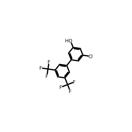 Oc1cc(Cl)cc(-c2cc(C(F)(F)F)cc(C(F)(F)F)c2)c1